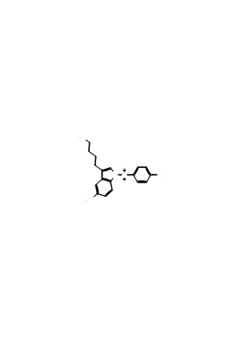 Cc1ccc(S(=O)(=O)n2cc(CCCCO)c3cc(C#N)ccc32)cc1